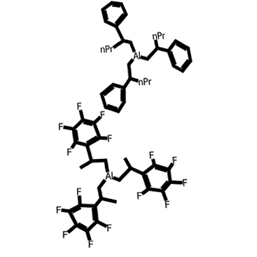 CC([CH2][Al]([CH2]C(C)c1c(F)c(F)c(F)c(F)c1F)[CH2]C(C)c1c(F)c(F)c(F)c(F)c1F)c1c(F)c(F)c(F)c(F)c1F.CCCC([CH2][Al]([CH2]C(CCC)c1ccccc1)[CH2]C(CCC)c1ccccc1)c1ccccc1